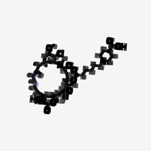 COc1cc2cc(c1Cl)N(C)C(=O)C[C@H](OC(=O)CCCCCN1CCC(C(=O)O)CC1)[C@]1(C)O[C@H]1[C@H](C)[C@@H]1C[C@](O)(C/C=C/C=C(\C)C2)NC(=O)O1